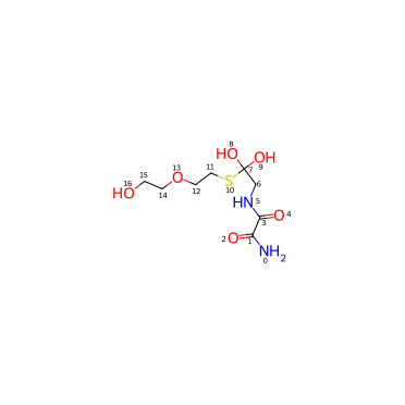 NC(=O)C(=O)NCC(O)(O)SCCOCCO